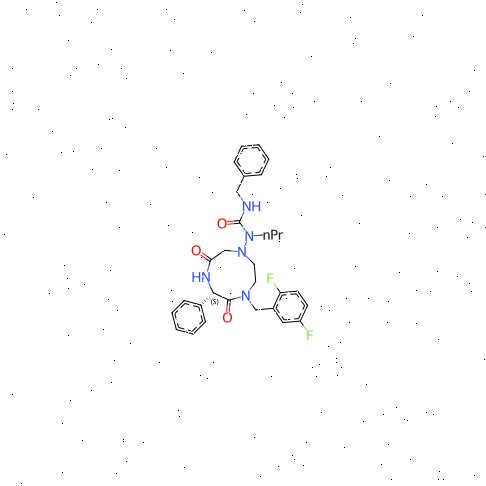 CCCN(C(=O)NCc1ccccc1)N1CCN(Cc2cc(F)ccc2F)C(=O)[C@H](c2ccccc2)NC(=O)C1